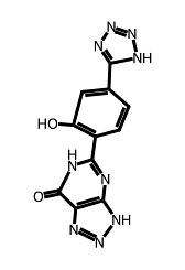 O=c1[nH]c(-c2ccc(-c3nnn[nH]3)cc2O)nc2[nH]nnc12